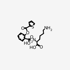 NCCCC[C@H](N)C(=O)O.O=C(Oc1ccccc1C(=O)O)c1cccs1